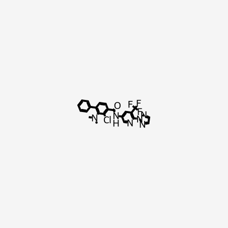 CN(C)c1c(-c2ccccc2)ccc(C(=O)Nc2cnc(-n3nccn3)c(C(F)(F)F)c2)c1Cl